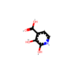 O=C(O)c1ccnc(O)c1O